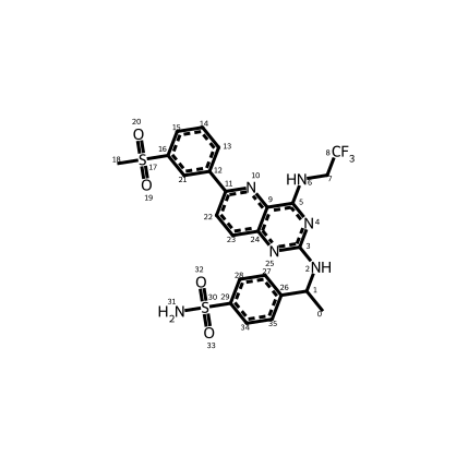 CC(Nc1nc(NCC(F)(F)F)c2nc(-c3cccc(S(C)(=O)=O)c3)ccc2n1)c1ccc(S(N)(=O)=O)cc1